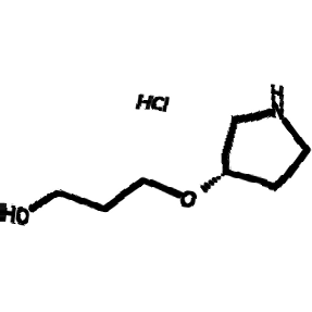 Cl.OCCCO[C@H]1CCNC1